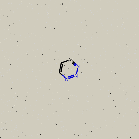 C1=C[As]=NN=N1